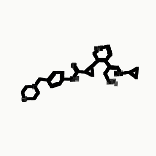 NC/C(=C\NC1CC1)C1=C(C2CC2C(=O)Nc2ccc(CN3CCOCC3)cc2)CNC=C1